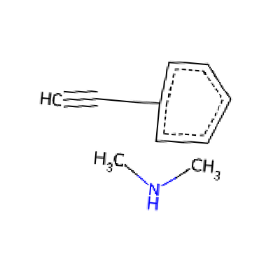 C#Cc1ccccc1.CNC